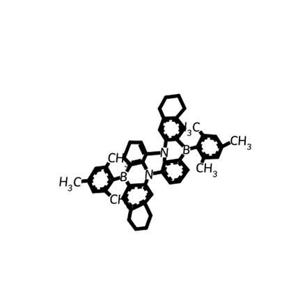 Cc1cc(C)c(B2C3=C4C(=CCC3)N3c5cc6c(cc5B(c5c(C)cc(C)cc5C)c5cccc(c53)N4c3cc4c(cc32)CCCC4)CCCC6)c(C)c1